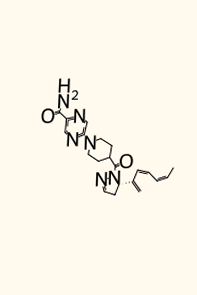 C=C(/C=C\C=C/C)[C@@H]1CC=NN1C(=O)C1CCN(c2cnc(C(N)=O)cn2)CC1